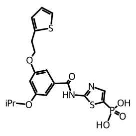 CC(C)Oc1cc(OCCc2cccs2)cc(C(=O)Nc2ncc(P(=O)(O)O)s2)c1